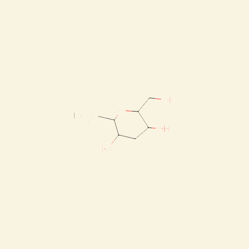 O=C(O)C1OC(CO)C(O)CC1O